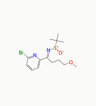 COCCCC(=N[S@+]([O-])C(C)(C)C)c1cccc(Br)n1